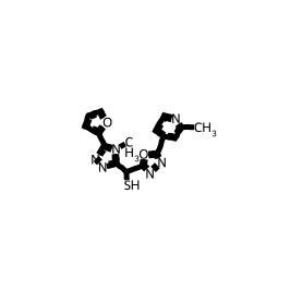 Cc1cc(-c2nnc(C(S)c3nnc(-c4ccco4)n3C)o2)ccn1